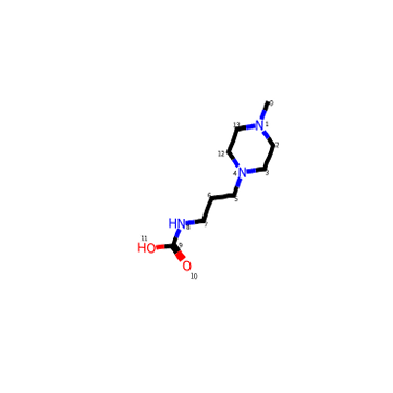 CN1CCN(CCCNC(=O)O)CC1